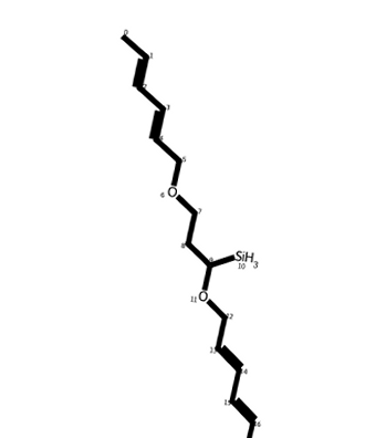 CC=CC=CCOCCC([SiH3])OCC=CC=CC